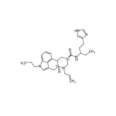 C=CCN1C[C@H](C(=O)NC(CC)CCc2c[nH]cn2)CC2c3cccc4c3c(cn4CCC)C[C@H]21